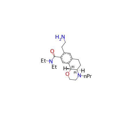 CCCN1CCO[C@@H]2c3cc(C(=O)N(CC)CC)c(CCN)cc3CC[C@H]21